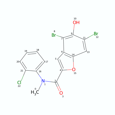 CN(C(=O)c1cc2c(Br)c(O)c(Br)cc2o1)c1ccccc1Cl